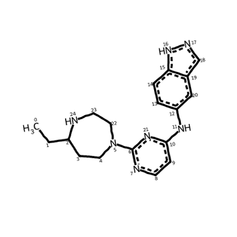 CCC1CCN(c2nccc(Nc3ccc4[nH]ncc4c3)n2)CCN1